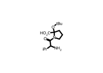 CC(C)C(N)C(=O)N1CCCC1(OC(C)(C)C)C(=O)O